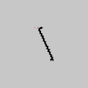 BC(C#C)CCCCCCCCCCCCCCCCCCCCCCC(=C)C